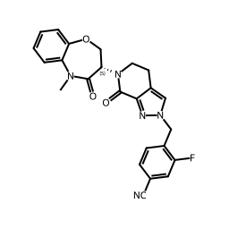 CN1C(=O)[C@@H](N2CCc3cn(Cc4ccc(C#N)cc4F)nc3C2=O)COc2ccccc21